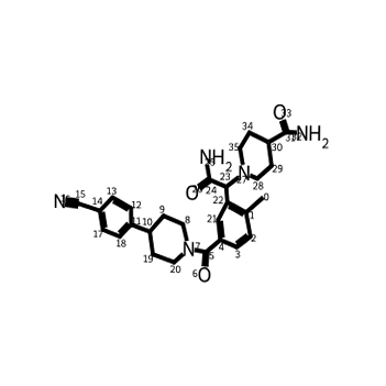 Cc1ccc(C(=O)N2CCC(c3ccc(C#N)cc3)CC2)cc1C(C(N)=O)N1CCC(C(N)=O)CC1